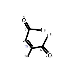 C/C(=C/C(=O)I)C(=O)I